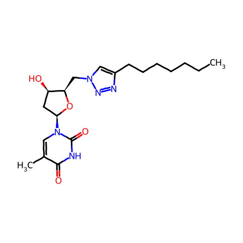 CCCCCCCc1cn(C[C@H]2O[C@@H](n3cc(C)c(=O)[nH]c3=O)C[C@H]2O)nn1